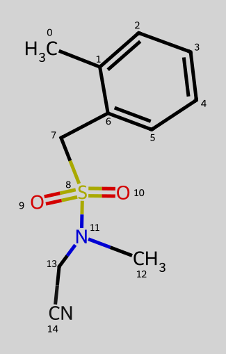 Cc1ccccc1CS(=O)(=O)N(C)CC#N